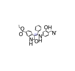 CCOC(=O)c1ccc2c(c1)NC(=O)/C2=C(\Nc1ccc(CN(C)C)c(O)c1)c1ccccc1